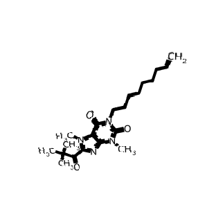 C=CCCCCCCCn1c(=O)c2c(nc(C(=O)C(C)(C)C)n2C)n(C)c1=O